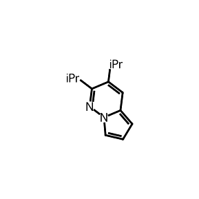 CC(C)c1cc2cccn2nc1C(C)C